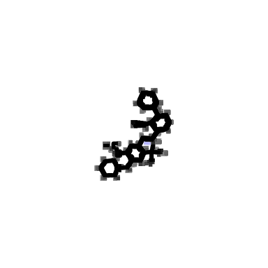 COc1cc(/C=C/c2cccc(-c3ccccc3)c2C#N)c(C(F)(F)F)cc1CN1CCCCC1